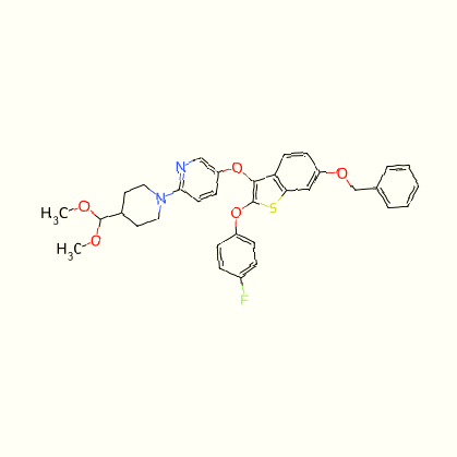 COC(OC)C1CCN(c2ccc(Oc3c(Oc4ccc(F)cc4)sc4cc(OCc5ccccc5)ccc34)cn2)CC1